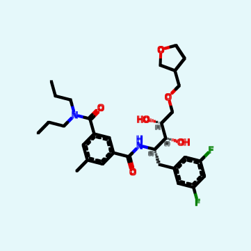 CCCN(CCC)C(=O)c1cc(C)cc(C(=O)N[C@@H](Cc2cc(F)cc(F)c2)[C@@H](O)[C@H](O)COCC2CCOC2)c1